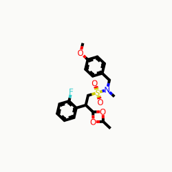 COc1ccc(CN(C)S(=O)(=O)CC(c2ccccc2F)C2OC(C)O2)cc1